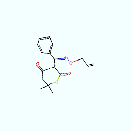 C=CCON=C(c1ccccc1)C1C(=O)CC(C)(C)SC1=O